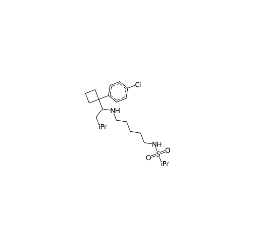 CC(C)CC(NCCCCCNS(=O)(=O)C(C)C)C1(c2ccc(Cl)cc2)CCC1